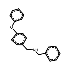 c1ccc(CNCc2ccc(Oc3ccccc3)cc2)cc1